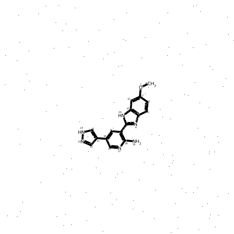 COc1ccc2nc(-c3cc(-c4cn[nH]c4)cnc3N)[nH]c2c1